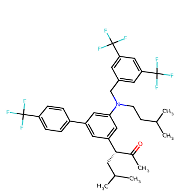 CC(=O)[C@H](CC(C)C)c1cc(-c2ccc(C(F)(F)F)cc2)cc(N(CCC(C)C)Cc2cc(C(F)(F)F)cc(C(F)(F)F)c2)c1